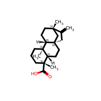 C=C1C[C@]23CC[C@H]4[C@@](C)(CCC[C@@]4(C)C(=O)O)[C@@H]2CC[C@@]1(C)C3